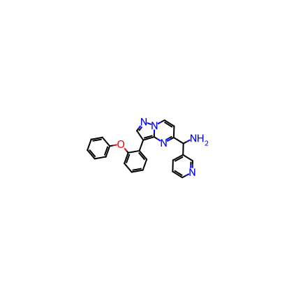 NC(c1cccnc1)c1ccn2ncc(-c3ccccc3Oc3ccccc3)c2n1